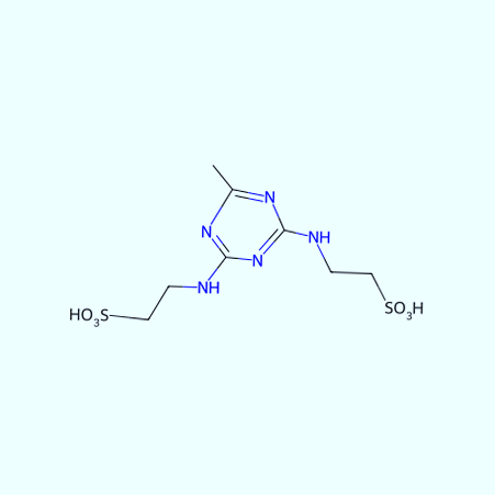 Cc1nc(NCCS(=O)(=O)O)nc(NCCS(=O)(=O)O)n1